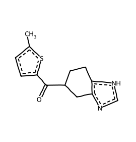 Cc1ccc(C(=O)C2CCc3[nH]cnc3C2)s1